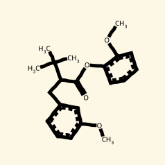 COc1cccc(CC(C(=O)Oc2ccccc2OC)C(C)(C)C)c1